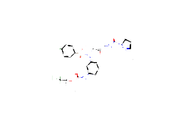 Cn1cccc1C(=O)NC[C@H]1CN(S(=O)(=O)c2ccc(F)cc2)c2cc(NC(=O)OC(C)(C)C(F)(F)F)ccc2O1